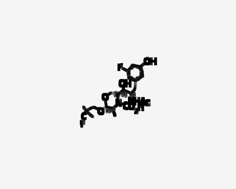 CC(=O)N[C@@H](Cc1cc(O)cc(F)c1)[C@H](O)[C@H]1CO[C@@H](OCC(C)(C)CF)[C@H](C)N1C(=O)O